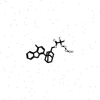 Cc1ccc(C23CC4CC(CC(COC(=O)C(F)(F)SOOO)(C4)C2)C3)c2c1-c1ccccc1C2